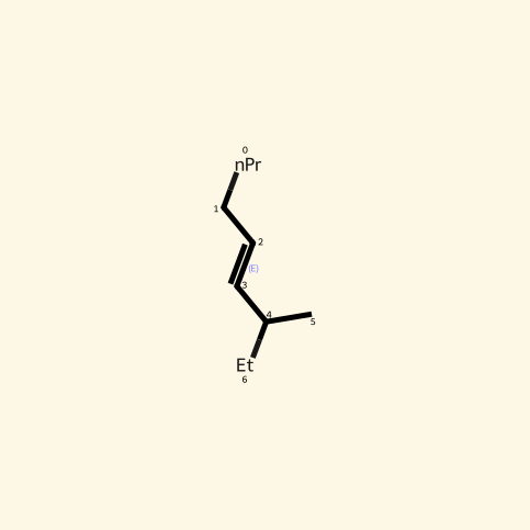 [CH2]CCC/C=C/C(C)CC